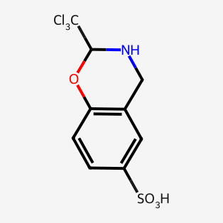 O=S(=O)(O)c1ccc2c(c1)CNC(C(Cl)(Cl)Cl)O2